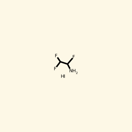 I.NC(F)C(F)F